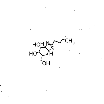 CCCCC1=N[C@@H]2[C@@H](O)[C@H](O)[C@@H](CO)C[C@@H]2S1